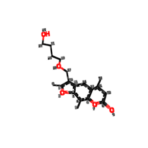 Cc1oc2c(C)c3oc(=O)cc(C)c3cc2c1COCCCCO